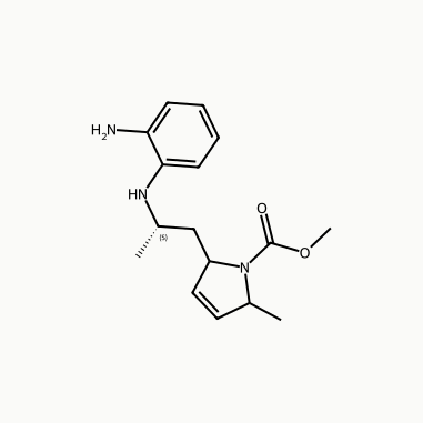 COC(=O)N1C(C)C=CC1C[C@H](C)Nc1ccccc1N